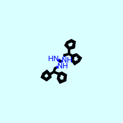 N=C(NCC(c1ccccc1)c1ccccc1)NCC(c1ccccc1)c1ccccc1